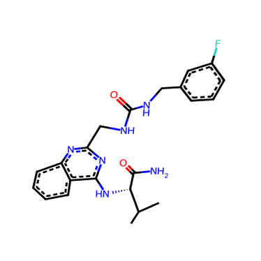 CC(C)[C@H](Nc1nc(CNC(=O)NCc2cccc(F)c2)nc2ccccc12)C(N)=O